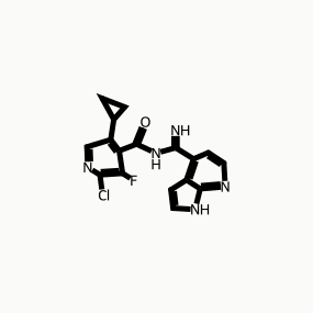 N=C(NC(=O)c1c(C2CC2)cnc(Cl)c1F)c1ccnc2[nH]ccc12